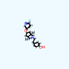 Oc1ccc(CCN2C[C@H]3C[C@H](Oc4ccc(F)nc4)C[C@H]3C2)cc1